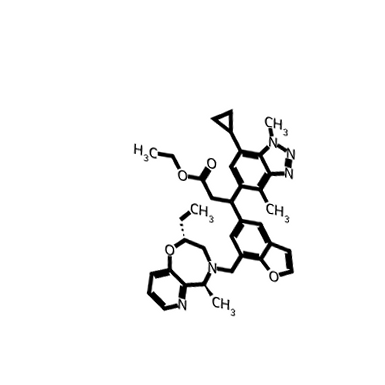 CCOC(=O)CC(c1cc(CN2C[C@@H](CC)Oc3cccnc3[C@@H]2C)c2occc2c1)c1cc(C2CC2)c2c(nnn2C)c1C